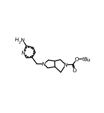 CC(C)(C)OC(=O)N1CC2CN(Cc3ccc(N)nc3)CC2C1